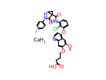 COc1cc2c(Oc3cccc(NC(=O)C4(C(=O)Nc5ccc(F)cc5)CC4)c3Cl)ccnc2cc1OCCCC(=O)O.[CaH2]